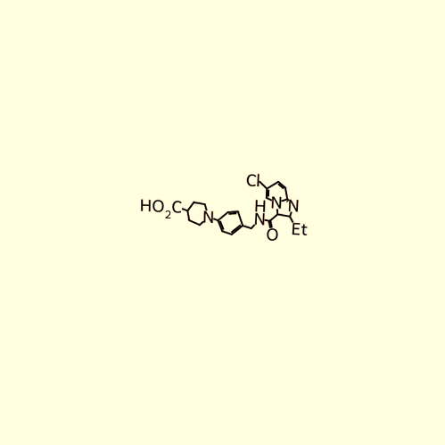 CCC1N=C2C=CC(Cl)=CN2C1C(=O)NCc1ccc(N2CCC(C(=O)O)CC2)cc1